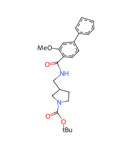 COc1cc(-c2ccccc2)ccc1C(=O)NCC1CCN(C(=O)OC(C)(C)C)C1